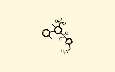 Cc1ccccc1-c1cc(S(=O)(=O)c2ccc(CN)s2)cc(S(C)(=O)=O)c1C